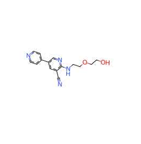 N#Cc1cc(-c2ccncc2)cnc1NCCOCCO